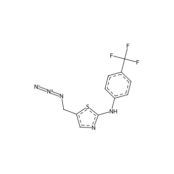 [N-]=[N+]=NCc1cnc(Nc2ccc(C(F)(F)F)cc2)s1